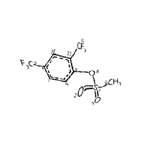 CS(=O)(=O)Oc1ccc(C(F)(F)F)cc1C(F)(F)F